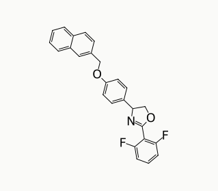 Fc1cccc(F)c1C1=NC(c2ccc(OCc3ccc4ccccc4c3)cc2)CO1